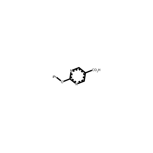 CC(C)Oc1ncc(C(=O)O)cn1